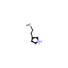 CCCCCc1cc[nH]c1